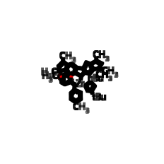 CCCCC1C=C(C(C)(C)C)C=[C]1[Zr](=[C](c1ccc(C)cc1)c1ccc(C)cc1)[CH]1c2cc3c(cc2-c2cc4c(cc21)C(C)(C)C=C4C)C(C)=CC3(C)C